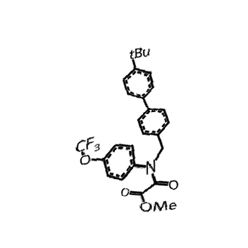 COC(=O)C(=O)N(Cc1ccc(-c2ccc(C(C)(C)C)cc2)cc1)c1ccc(OC(F)(F)F)cc1